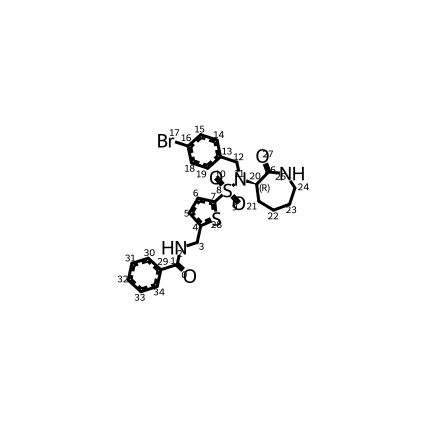 O=C(NCc1ccc(S(=O)(=O)N(Cc2ccc(Br)cc2)[C@@H]2CCCCNC2=O)s1)c1ccccc1